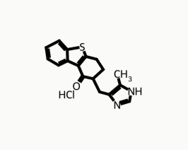 Cc1[nH]cnc1CC1CCc2sc3ccccc3c2C1=O.Cl